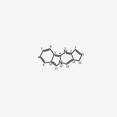 C1=Cc2nc3c4ccccc4cn3cc2C1